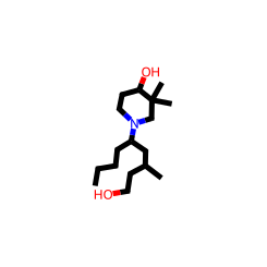 CCCCC(CC(C)CCO)N1CCC(O)C(C)(C)C1